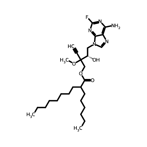 C#CC(COC(=O)C(CCCCCC)CCCCCCCC)(OC)[C@@H](O)Cn1cnc2c(N)nc(F)nc21